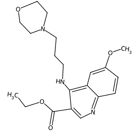 CCOC(=O)c1cnc2ccc(OC)cc2c1NCCCN1CCOCC1